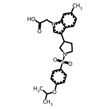 Cc1ccc2c(C3CCN(S(=O)(=O)c4ccc(OC(C)C)cc4)C3)cn(CC(=O)O)c2c1